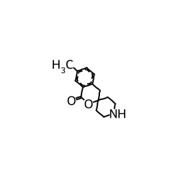 Cc1ccc2c(c1)C(=O)OC1(CCNCC1)C2